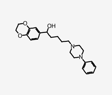 OC(CCCCN1CCN(c2ccccc2)CC1)c1ccc2c(c1)OCCO2